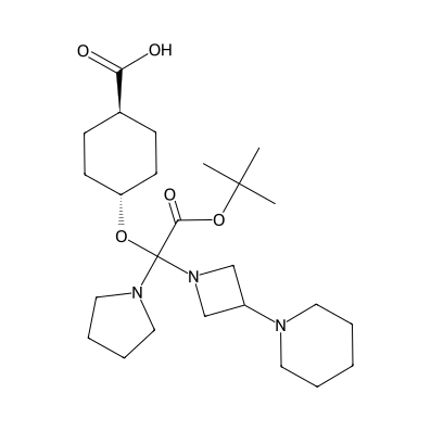 CC(C)(C)OC(=O)C(O[C@H]1CC[C@H](C(=O)O)CC1)(N1CCCC1)N1CC(N2CCCCC2)C1